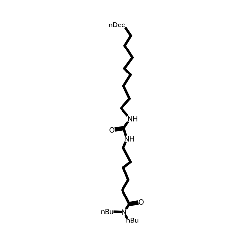 CCCCCCCCCCCCCCCCCCNC(=O)NCCCCCC(=O)N(CCCC)CCCC